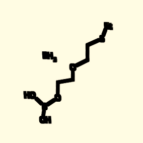 B.CCSCCOCCOB(O)O